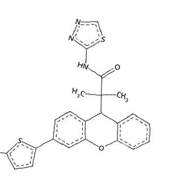 Cc1ccc(-c2ccc3c(c2)Oc2ccccc2C3C(C)(C)C(=O)Nc2nncs2)s1